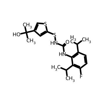 CC(C)c1ccc(F)c(C(C)C)c1NC(=O)NSc1cc(C(C)(C)O)cs1